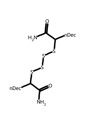 CCCCCCCCCCC(SSSSC(CCCCCCCCCC)C(N)=O)C(N)=O